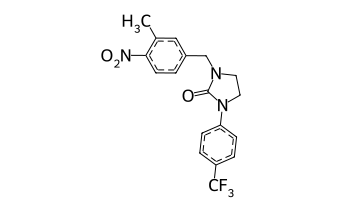 Cc1cc(CN2CCN(c3ccc(C(F)(F)F)cc3)C2=O)ccc1[N+](=O)[O-]